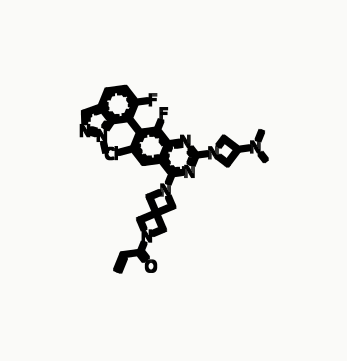 C=CC(=O)N1CC2(C1)CN(c1nc(N3CC(N(C)C)C3)nc3c(F)c(-c4c(F)ccc5cnn(C)c45)c(Cl)cc13)C2